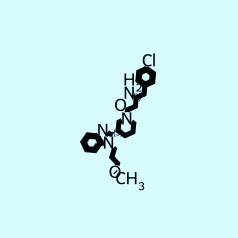 COCCCn1c([C@H]2CCCN(C(=O)C[C@H](N)Cc3ccc(Cl)cc3)C2)nc2ccccc21